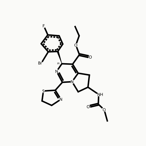 CCOC(=O)C1=C2CC(NC(=O)OC)CN2C(C2=NCCS2)=N[C@H]1c1ccc(F)cc1Br